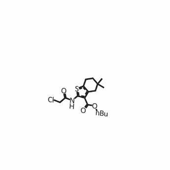 CCCCOC(=O)c1c(NC(=O)CCl)sc2c1CC(C)(C)CC2